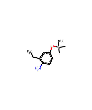 CC(C)(C)[Si](C)(C)Oc1ccc(N)c(CC(F)(F)F)c1